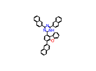 c1ccc2cc(C3=NC(c4ccc(-c5ccc6ccccc6c5)c5oc6ccccc6c45)NC(c4ccc5ccccc5c4)=N3)ccc2c1